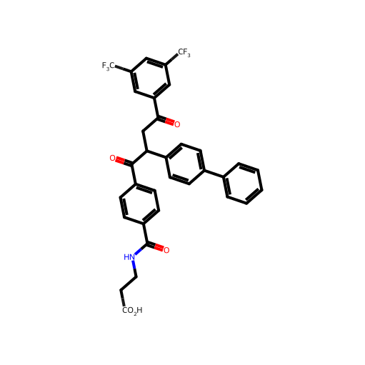 O=C(O)CCNC(=O)c1ccc(C(=O)C(CC(=O)c2cc(C(F)(F)F)cc(C(F)(F)F)c2)c2ccc(-c3ccccc3)cc2)cc1